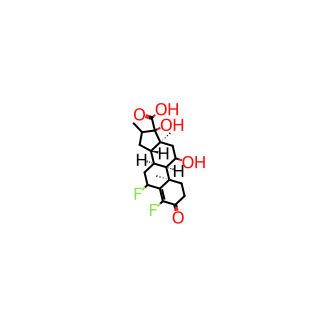 CC1C[C@H]2[C@@H]3CC(F)C4=C(F)C(=O)CC[C@]4(C)[C@@H]3C(O)C[C@]2(C)C1(O)C(=O)O